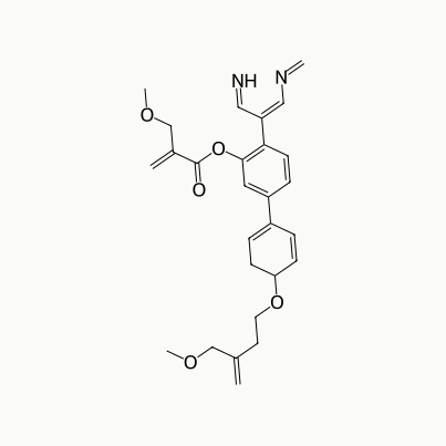 C=N/C=C(\C=N)c1ccc(C2=CCC(OCCC(=C)COC)C=C2)cc1OC(=O)C(=C)COC